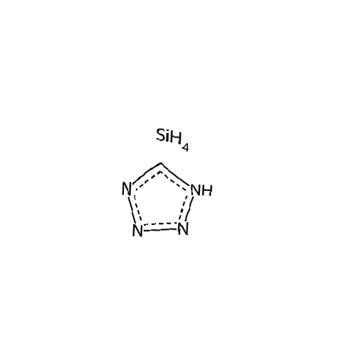 [SiH4].c1nnn[nH]1